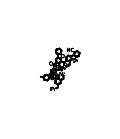 CCC12C(c3ccc4c(oc5ccc(C)cc54)c3-c3c4ccc(CC(C)C)cc4cc[n+]3C)=CC1(C)[n+]1ccc3c4c(ccc3c1-c1c2c(C(=O)OCc2ccccc2)cc2c1oc1ccccc12)-c1c(C#N)cccc1S4(C)C